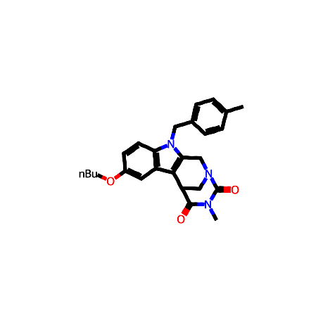 CCCCOc1ccc2c(c1)c1c(n2Cc2ccc(C)cc2)CN2CC1C(=O)N(C)C2=O